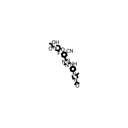 CC(O)C(=O)N1CC[C@H](Oc2ccc(-c3ncnc(Nc4ccc(N5CCN(C6COC6)CC5C)cc4)n3)cc2C#N)[C@H](F)C1